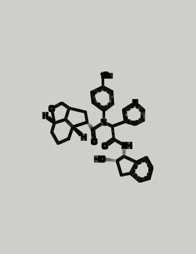 CC(C)(C)c1ccc(N(C(=O)[C@H]2CC3CO[C@H]4CCC[C@@H]2C34)C(C(=O)N[C@@H]2c3ccccc3C[C@@H]2O)c2cccnc2)cc1